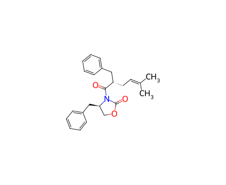 CC(C)=CC[C@@H](Cc1ccccc1)C(=O)N1C(=O)OC[C@H]1Cc1ccccc1